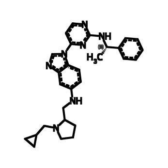 C[C@H](Nc1nccc(-n2cnc3cc(NCC4CCCN4CC4CC4)ccc32)n1)c1ccccc1